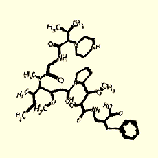 CCC(C)C(C(CC(=O)N1CCCC1C(OC)C(C)C(=O)NCC(Cc1ccccc1)C(=O)O)OC)N(C)C(=O)CNC(=O)C(C(C)C)N1CCNCC1